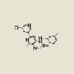 CCC(C)/C=N\c1c(C)nc(-c2cncc(Cl)c2)nc1NCc1cccc(C)c1